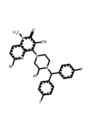 CC(C)C1CN(c2c(C#N)c(=O)n(C)c3ccc(Br)nc23)CCN1C(c1ccc(F)cc1)c1ccc(F)cc1